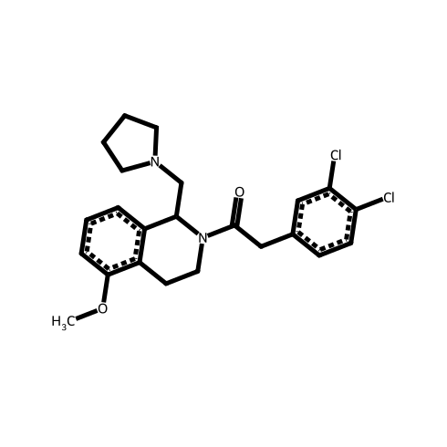 COc1cccc2c1CCN(C(=O)Cc1ccc(Cl)c(Cl)c1)C2CN1CCCC1